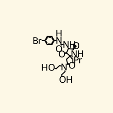 CC(C)C1(CC(=O)N(CCO)CCO)NC(=O)C(NC(=O)Nc2ccc(Br)cc2)C1=O